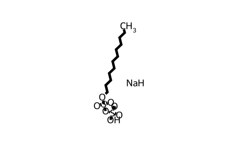 CCCCCCCCCCCCOS(=O)(=O)OS(=O)(=O)O.[NaH]